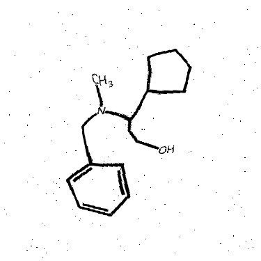 CN(Cc1ccccc1)C(CO)C1CCCC1